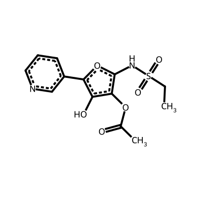 CCS(=O)(=O)Nc1oc(-c2cccnc2)c(O)c1OC(C)=O